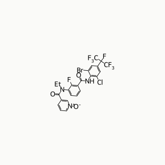 CCN(C(=O)c1ccc[n+]([O-])c1)c1cccc(C(=O)Nc2c(Cl)cc(C(F)(C(F)(F)F)C(F)(F)F)cc2Br)c1F